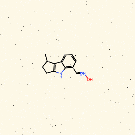 CC1CCc2[nH]c3c(/C=N/O)cccc3c21